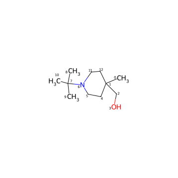 CC1(CO)CCN(C(C)(C)C)CC1